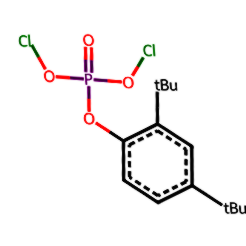 CC(C)(C)c1ccc(OP(=O)(OCl)OCl)c(C(C)(C)C)c1